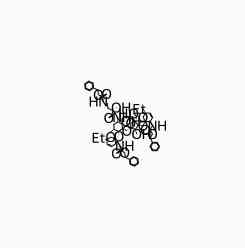 CC[C@H]1C=C[C@@H](NC(=O)OCc2ccccc2)[C@@H](O[C@H]2[C@@H](O)[C@H](O[C@@H]3[C@@H](O)[C@H](NC(=O)[C@@H](O)CCNC(=O)OCc4ccccc4)C[C@H](C)[C@H]3O[C@H]3O[C@H](CC)C=C[C@H]3NC(=O)OCc3ccccc3)O[C@@H]2CO)O1